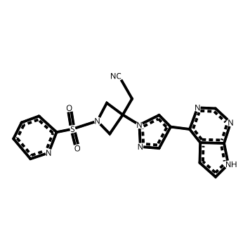 N#CCC1(n2cc(-c3ncnc4[nH]ccc34)cn2)CN(S(=O)(=O)c2ccccn2)C1